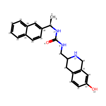 C[C@@H](NC(=O)NCC1Cc2ccc(O)cc2CN1)c1ccc2ccccc2c1